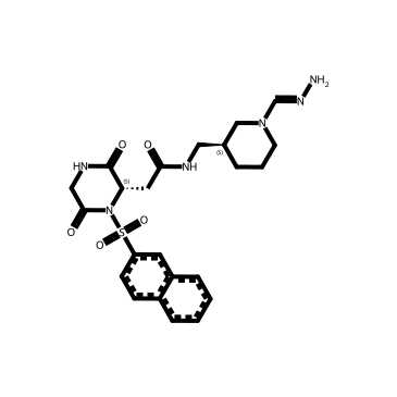 NN=CN1CCC[C@@H](CNC(=O)C[C@H]2C(=O)NCC(=O)N2S(=O)(=O)c2ccc3ccccc3c2)C1